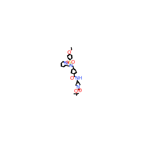 CCOc1ccc(S(=O)(=O)N(Cc2ccc(C(=O)NC3C4CN(C(=O)OC(C)(C)C)CC43)cc2)Cc2ccccn2)cc1